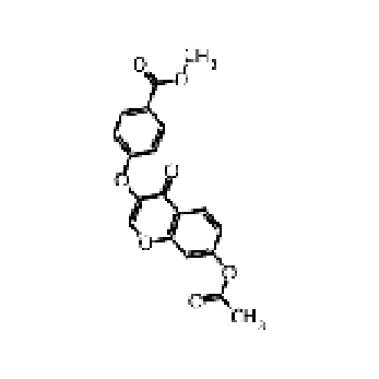 COC(=O)c1ccc(Oc2coc3cc(OC(C)=O)ccc3c2=O)cc1